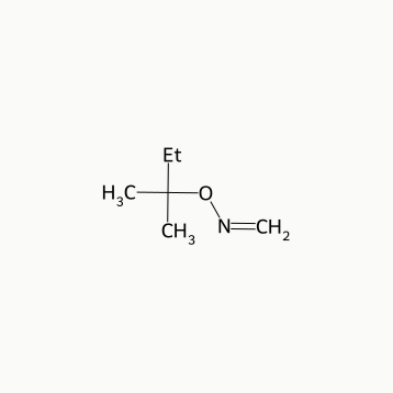 C=NOC(C)(C)CC